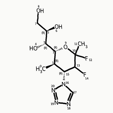 C[C@H]1[C@H]([C@H](O)[C@H](O)CO)OC(C)(F)C(F)[C@@H]1n1cnnn1